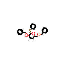 C[C@@H]1C(OCc2ccccc2)[C@H](Sc2ccccc2)OC(COCc2ccccc2)[C@@H]1C